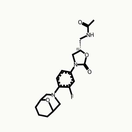 CC(=O)NC[C@H]1CN(c2ccc(N3CC4CCCC(C3)O4)c(F)c2)C(=O)O1